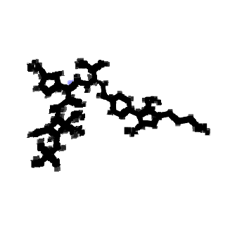 Cc1cn(CCCN)[n+](C)c1-c1ccc(OC[C@H](O/N=C(\C(=O)N[C@@H]2C(=O)N(OS(=O)(=O)O)C2(C)C)c2csc(N)n2)C(=O)O)cc1